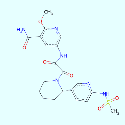 COc1ncc(NC(=O)C(=O)N2CCCC[C@H]2c2ccc(NS(C)(=O)=O)nc2)cc1C(N)=O